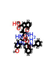 COc1ccc(C[C@H](NC(=O)C2(C(N)=O)CC2C2c3ccccc3CC2C(=O)O)C(=O)N[C@@H](Cc2ccccc2)C(=O)C(=O)NCc2ccccc2)cc1